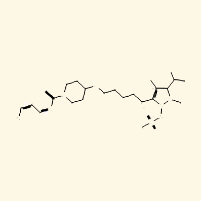 C=C(/N=C\C=C/N)N1CCC(OCCCCCC2=C(Cl)C(C(C)O)N(C)N2NS(C)(=O)=O)CC1